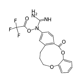 N=C(N)N(OC(=O)C(F)(F)F)c1ccc2c(c1)CCCOc1ccccc1OC2=O